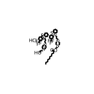 CCCCCCCCCC(=O)OCCN1CCN(CCCN2c3ccccc3Sc3ccc(C(F)(F)F)cc32)CC1.Cl.OCCN1CCN(CCCN2c3ccccc3Sc3ccc(C(F)(F)F)cc32)CC1